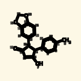 Cc1ccc(C2C(O)=[C]C(=O)N2c2ccc3c(c2)OCO3)cc1